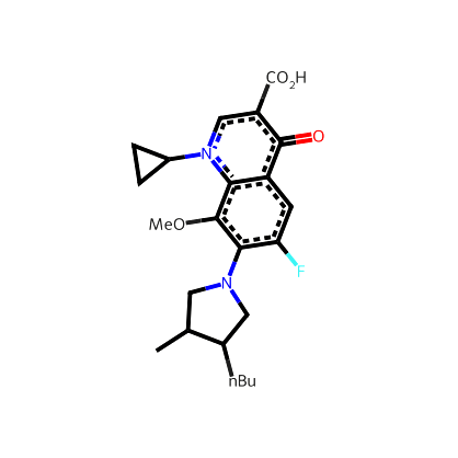 CCCCC1CN(c2c(F)cc3c(=O)c(C(=O)O)cn(C4CC4)c3c2OC)CC1C